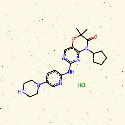 CC1(C)Oc2cnc(Nc3ccc(N4CCNCC4)cn3)nc2N(C2CCCC2)C1=O.Cl